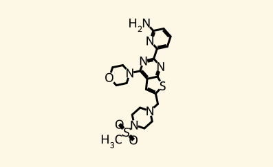 CS(=O)(=O)N1CCN(Cc2cc3c(N4CCOCC4)nc(-c4cccc(N)n4)nc3s2)CC1